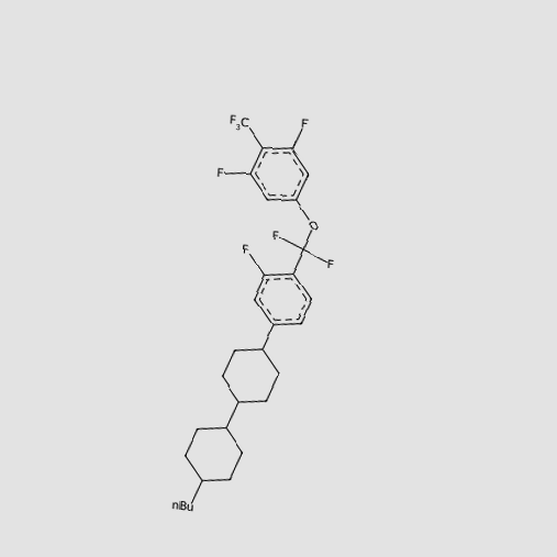 CCCCC1CCC(C2CCC(c3ccc(C(F)(F)Oc4cc(F)c(C(F)(F)F)c(F)c4)c(F)c3)CC2)CC1